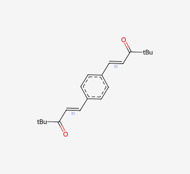 CC(C)(C)C(=O)/C=C/c1ccc(/C=C/C(=O)C(C)(C)C)cc1